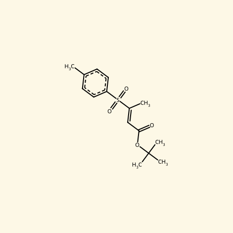 CC(=CC(=O)OC(C)(C)C)S(=O)(=O)c1ccc(C)cc1